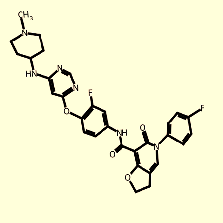 CN1CCC(Nc2cc(Oc3ccc(NC(=O)c4c5c(cn(-c6ccc(F)cc6)c4=O)CCO5)cc3F)ncn2)CC1